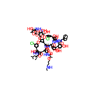 CCNCCCCOC(C)C(=O)NC(=O)C[C@@H]1CC(=O)[C@H](NC(=O)[C@H](CC)CC(C)C)[C@H](O)c2ccc(c(Cl)c2)Oc2cc3cc(c2O[C@@H]2O[C@H](CO)[C@@H](O)[C@H](O)[C@H]2O[C@H]2C[C@](C)(N)[C@H](O)[C@H](C)O2)Oc2ccc(cc2Cl)[C@@H](O)[C@@H]2NC(=O)[C@H](CC(=O)[C@@H]3NC1=O)c1ccc(O)c(c1)-c1c(O)cc(O)cc1[C@@H](C(=O)CC1C3CC4CC(C3)CC1C4)NC2=O